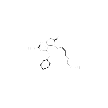 NC(=O)OC(Cc1ccccc1)[C@H]1CCC(=O)N1C/C=C\CCCC(=O)O